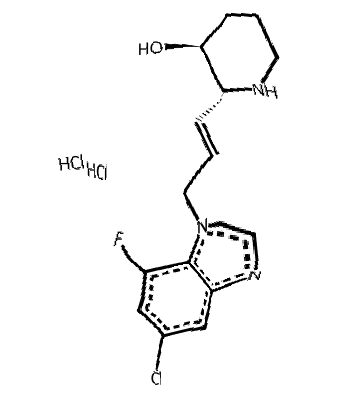 Cl.Cl.O[C@H]1CCCN[C@@H]1/C=C/Cn1cnc2cc(Cl)cc(F)c21